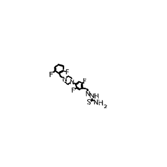 NC(=S)NN=Cc1cc(F)c(N2CCN(Cc3c(F)cccc3F)CC2)cc1F